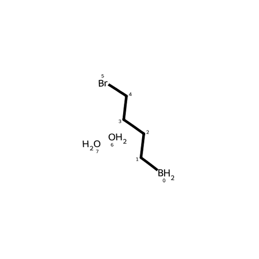 BCCCCBr.O.O